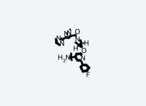 Cn1nc(-c2ncccn2)cc1C(=O)N1C[C@@H]2C(Oc3cc(C(C)(C)N)cc(-c4ccc(F)cc4)n3)[C@@H]2C1